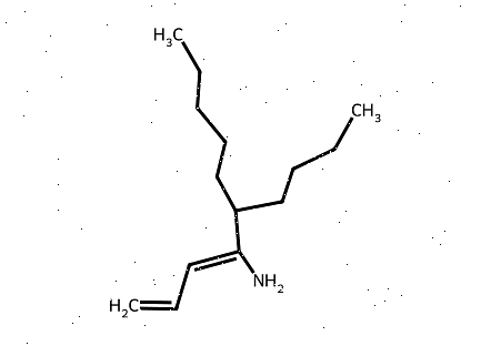 C=C/C=C(\N)C(CCCC)CCCCC